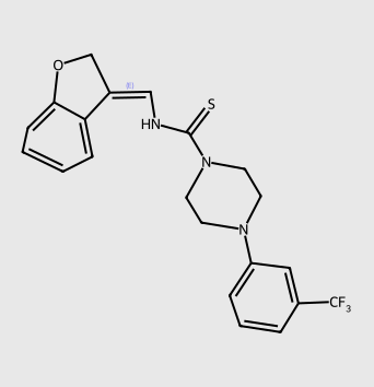 FC(F)(F)c1cccc(N2CCN(C(=S)N/C=C3/COc4ccccc43)CC2)c1